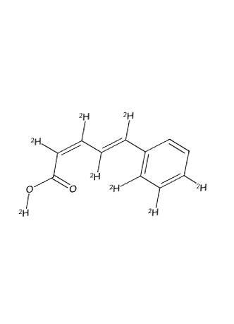 [2H]OC(=O)C([2H])=C([2H])C([2H])=C([2H])c1ccc([2H])c([2H])c1[2H]